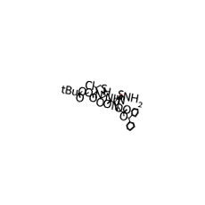 CC(C)(C)C(=O)OCOC(=O)C1=C(Cl)CS[C@@H]2C(NC(=O)/C(=N/OCC(=O)OC(c3ccccc3)c3ccccc3)c3csc(N)n3)C(=O)N12